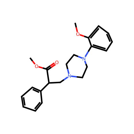 COC(=O)C(CN1CCN(c2ccccc2OC)CC1)c1ccccc1